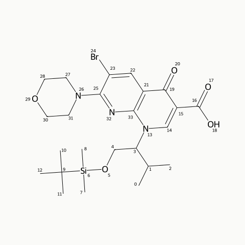 CC(C)C(CO[Si](C)(C)C(C)(C)C)n1cc(C(=O)O)c(=O)c2cc(Br)c(N3CCOCC3)nc21